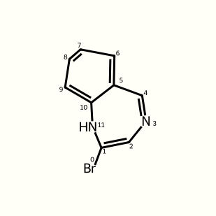 BrC1=CN=Cc2ccccc2N1